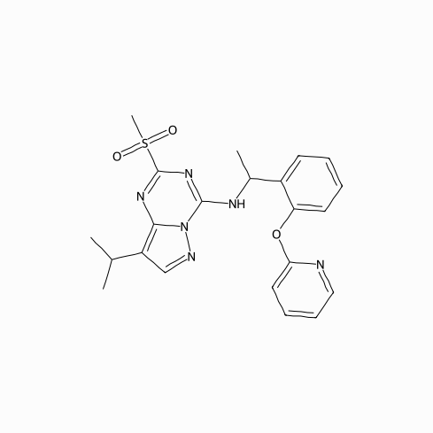 CC(C)c1cnn2c(NC(C)c3ccccc3Oc3ccccn3)nc(S(C)(=O)=O)nc12